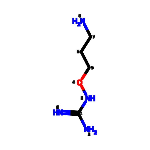 N=C(N)NOCCCN